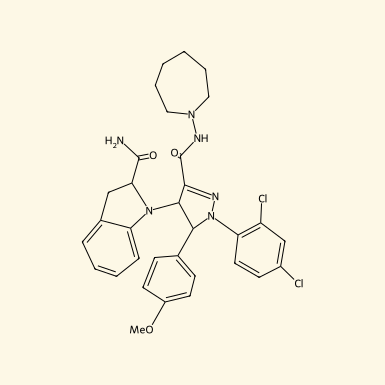 COc1ccc(C2C(N3c4ccccc4CC3C(N)=O)C(C(=O)NN3CCCCCC3)=NN2c2ccc(Cl)cc2Cl)cc1